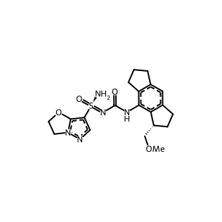 COC[C@H]1CCc2cc3c(c(NC(=O)N=[S@@](N)(=O)c4cnn5c4OCC5)c21)CCC3